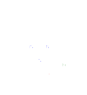 Cc1cccc(Nc2nc(=O)c(Br)cn2Cc2ccccc2)c1C